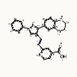 O=C(O)c1ccnc(/C=C/c2cn(-c3ccccc3)nc2-c2ccc3c(c2)OCCO3)c1